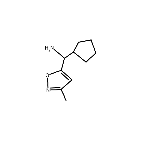 Cc1cc(C(N)C2CCCC2)on1